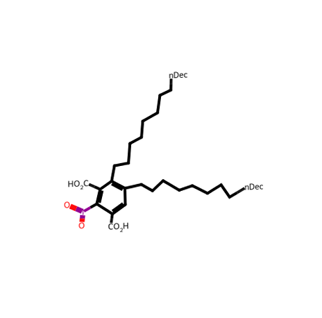 CCCCCCCCCCCCCCCCCCc1cc(C(=O)O)c(I(=O)=O)c(C(=O)O)c1CCCCCCCCCCCCCCCCCC